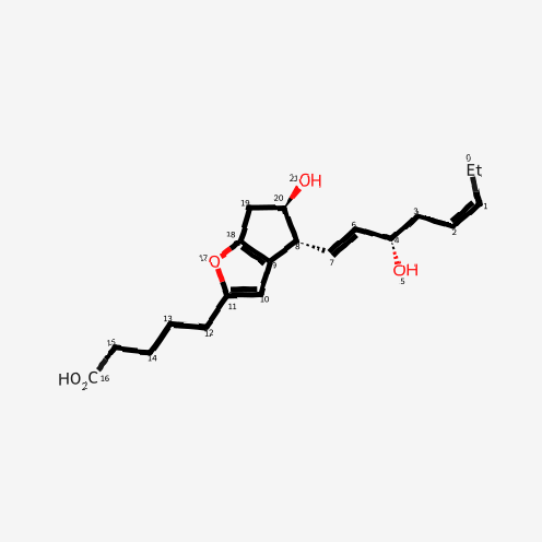 CC/C=C\C[C@H](O)/C=C/[C@@H]1c2cc(CCCCC(=O)O)oc2C[C@H]1O